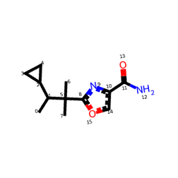 CC(C1CC1)C(C)(C)c1nc(C(N)=O)co1